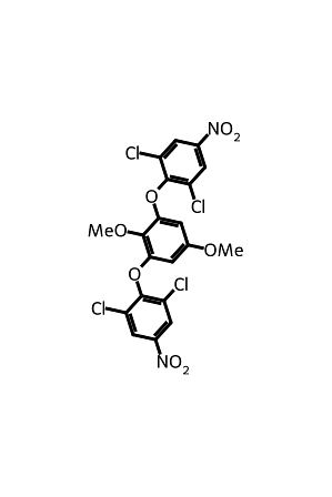 COc1cc(Oc2c(Cl)cc([N+](=O)[O-])cc2Cl)c(OC)c(Oc2c(Cl)cc([N+](=O)[O-])cc2Cl)c1